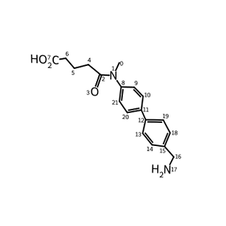 CN(C(=O)CCCC(=O)O)c1ccc(-c2ccc(CN)cc2)cc1